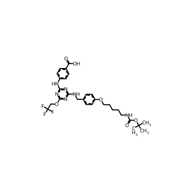 CC(C)(C)OC(=O)NCCCCCOc1ccc(CNc2nc(Nc3ccc(C(=O)O)cc3)nc(OCC(F)(F)F)n2)cc1